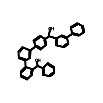 OC(c1ccc(-c2cccc(-c3ccccc3C(O)c3ccccc3)c2)cc1)c1cccc(-c2ccccc2)c1